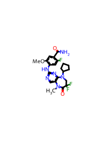 COc1cc(C(N)=O)c(F)cc1Nc1ncc2c(n1)N(C1CCCC1)CC(F)(F)C(=O)N2C